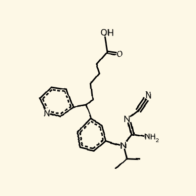 CC(C)N(C(N)=NC#N)c1cccc(C(CCCCC(=O)O)c2cccnc2)c1